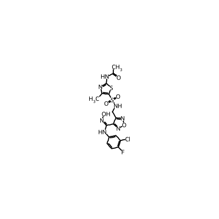 CC(=O)Nc1nc(C)c(S(=O)(=O)NCc2nonc2/C(=N\O)Nc2ccc(F)c(Cl)c2)s1